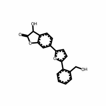 O=C1Oc2cc(-c3ccc(-c4ccccc4CO)o3)ccc2C1O